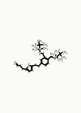 CC(C)(C)[Si](C)(C)OCc1ccc(CCc2ccc(CCC=O)s2)cc1CO[Si](C)(C)C(C)(C)C